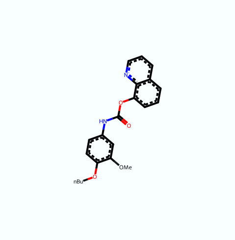 CCCCOc1ccc(NC(=O)Oc2cccc3cccnc23)cc1OC